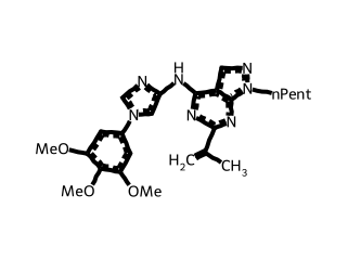 C=C(C)c1nc(Nc2cn(-c3cc(OC)c(OC)c(OC)c3)cn2)c2cnn(CCCCC)c2n1